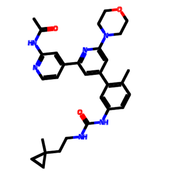 CC(=O)Nc1cc(-c2cc(-c3cc(NC(=O)NCCC4(C)CC4)ccc3C)cc(N3CCOCC3)n2)ccn1